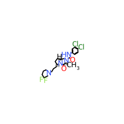 C[C@H]1C(=O)N2[C@@H](CCCN3CCCC(F)(F)C3)CC[C@H]2CN1C(=O)Nc1ccc(Cl)c(Cl)c1